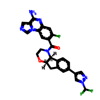 Nc1nc2cc(F)c(C(=O)N3CCO[C@@H]4Cc5cc(-c6cnn(C(F)F)c6)ccc5[C@@H]43)cc2n2cncc12